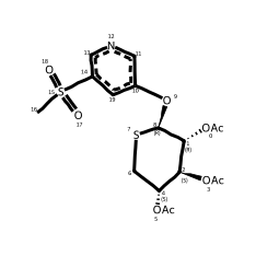 CC(=O)O[C@@H]1[C@@H](OC(C)=O)[C@H](OC(C)=O)CS[C@H]1Oc1cncc(S(C)(=O)=O)c1